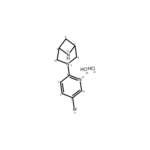 Brc1ccc(N2CC3CC(C2)N3)nc1.Cl.Cl